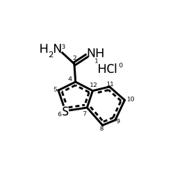 Cl.N=C(N)c1csc2ccccc12